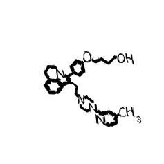 Cc1ccnc(N2CCN(CCc3c(-c4ccc(OCCCCO)cc4)n4c5c(cccc35)CCC4)CC2)c1